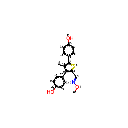 CO/N=C/c1sc(-c2ccc(O)cc2)c(C)c1-c1ccc(O)cc1